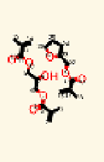 C=C(C)C(=O)OCC(O)COC(=O)C(=C)C.C=C(C)C(=O)OCC1CCCO1